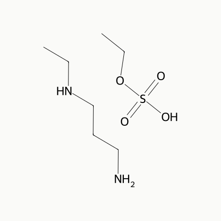 CCNCCCN.CCOS(=O)(=O)O